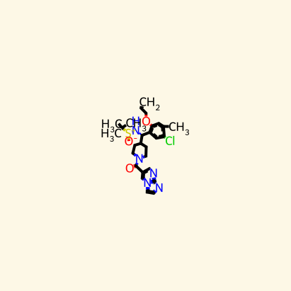 C=CCOc1cc(C)c(Cl)cc1[C@H](N[S+]([O-])C(C)(C)C)C1CCN(C(=O)c2cnc3nccn3c2)CC1